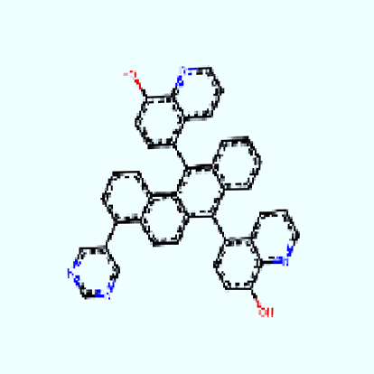 Oc1ccc(-c2c3ccccc3c(-c3ccc(O)c4ncccc34)c3c2ccc2c(-c4cncnc4)cccc23)c2cccnc12